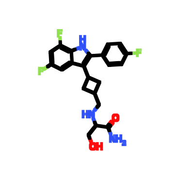 NC(=O)C(CO)NCC1CC(c2c(-c3ccc(F)cc3)[nH]c3c(F)cc(F)cc23)C1